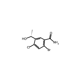 C[C@@H](O)c1cc(C(N)=O)c(Br)cc1Cl